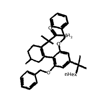 CCCCCCC(C)(C)c1cc(OCc2ccccc2)c(C2=C(C(C)(C)C(N)=O)CCC(C)C2)c(OCc2ccccc2)c1